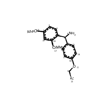 COc1ccc(C(N)c2ccc(OCC(C)=O)cc2)c(OC)c1